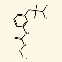 CONC(=O)Nc1cccc(OC(F)(F)C(Cl)Cl)c1